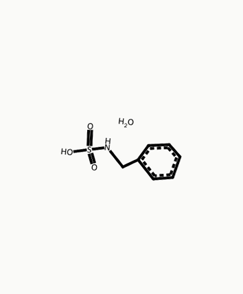 O.O=S(=O)(O)NCc1ccccc1